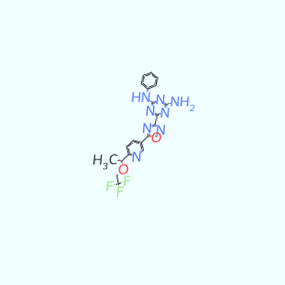 CC(OCC(F)(F)F)c1ccc(-c2nc(-c3nc(N)nc(Nc4ccccc4)n3)no2)cn1